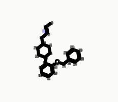 C/C=C/CC1CCC(c2ccccc2OCc2ccccc2)CC1